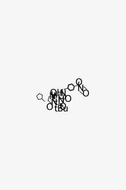 CC(C)(C)[C@H](NC(=O)[C@H](CC1CCCC1)CN(O)C=O)C(=O)N1CCN(Cc2ccc(C(=O)N3CCOCC3)cc2)CC1